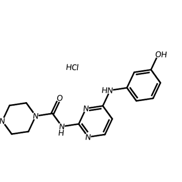 Cl.O=C(Nc1nccc(Nc2cccc(O)c2)n1)N1CCNCC1